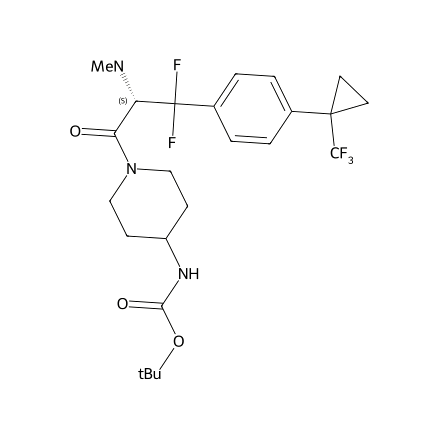 CN[C@@H](C(=O)N1CCC(NC(=O)OC(C)(C)C)CC1)C(F)(F)c1ccc(C2(C(F)(F)F)CC2)cc1